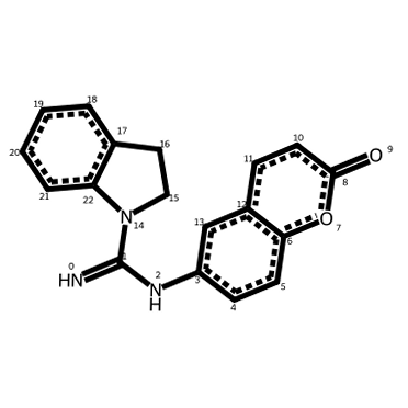 N=C(Nc1ccc2oc(=O)ccc2c1)N1CCc2ccccc21